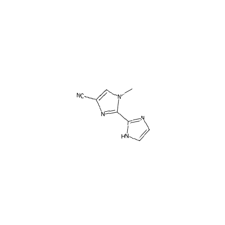 Cn1cc(C#N)nc1-c1ncc[nH]1